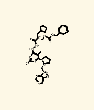 O=C(NC[C@@H](CC1CCCC1)C(=O)NNc1nc(Cl)nc(N2CCC[C@H]2Cn2nnc3cncnc32)c1F)OCc1ccccc1